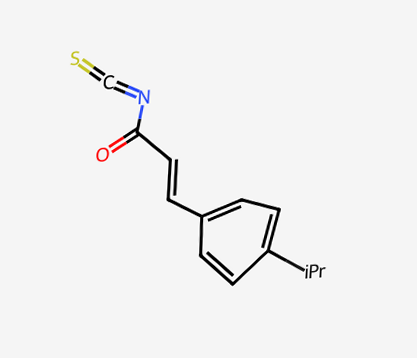 CC(C)c1ccc(C=CC(=O)N=C=S)cc1